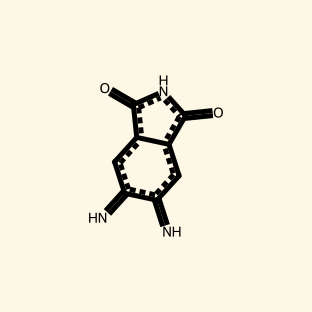 N=c1cc2c(=O)[nH]c(=O)c-2cc1=N